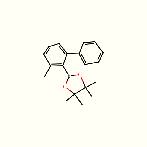 Cc1cccc(-c2ccccc2)c1B1OC(C)(C)C(C)(C)O1